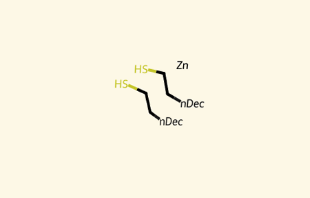 CCCCCCCCCCCCS.CCCCCCCCCCCCS.[Zn]